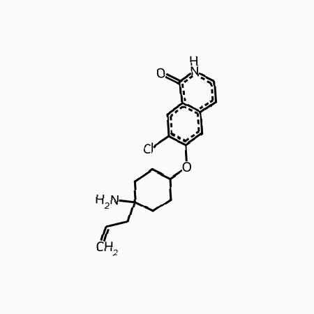 C=CCC1(N)CCC(Oc2cc3cc[nH]c(=O)c3cc2Cl)CC1